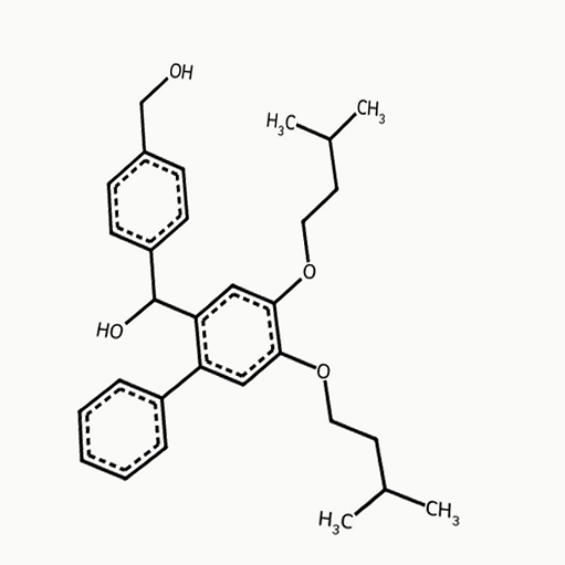 CC(C)CCOc1cc(-c2ccccc2)c(C(O)c2ccc(CO)cc2)cc1OCCC(C)C